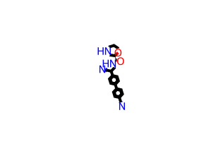 N#Cc1ccc(-c2ccc(C(C#N)CNC(=O)[C@@H]3CNCCCO3)cc2)cc1